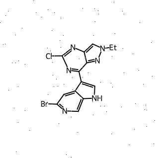 CCn1cc2nc(Cl)nc(-c3c[nH]c4cnc(Br)cc34)c2n1